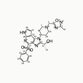 Cc1noc(CN2CCC(n3c([C@@H](C)O)nc4c(S(=O)(=O)c5ccccc5)nc5[nH]ccc5c43)CC2)n1